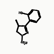 CC1CN(C(=O)O)N=C1c1ccccc1O